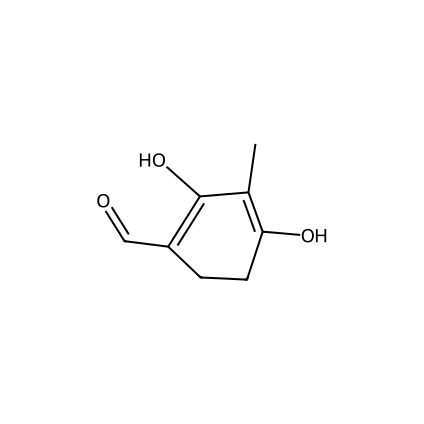 CC1=C(O)CCC(C=O)=C1O